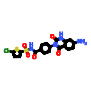 Nc1ccc2c(=O)n(-c3ccc(C(=O)NS(=O)(=O)c4ccc(Cl)s4)cc3)c(=O)[nH]c2c1